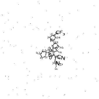 Cc1ccc(S(=O)(=O)n2c(C(=O)C(C#N)=CN(C)C)cc3ccc(-c4cc(C(F)(F)F)ccn4)cc32)cc1